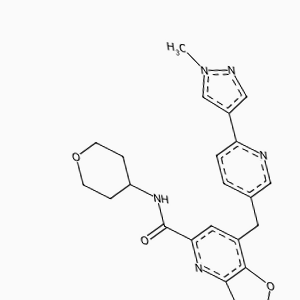 Cn1cc(-c2ccc(Cc3cc(C(=O)NC4CCOCC4)nc4c3OCC4)cn2)cn1